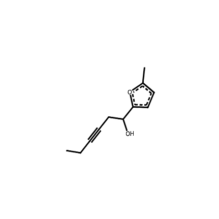 CCC#CCC(O)c1ccc(C)o1